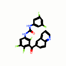 O=C(Nc1cc(F)cc(F)c1)Nc1cc(F)c(F)c(C(=O)c2ccc3ncccc3c2)c1F